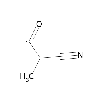 CC([C]=O)C#N